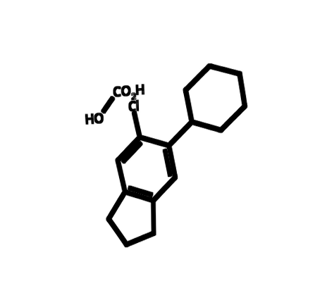 Clc1cc2c(cc1C1CCCCC1)CCC2.O=C(O)O